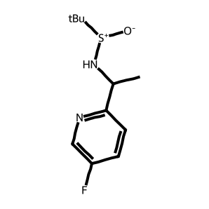 CC(N[S+]([O-])C(C)(C)C)c1ccc(F)cn1